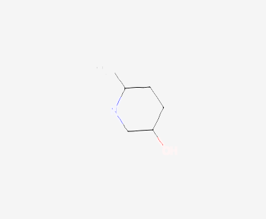 O=C(O)C1CCC(O)C[N]1